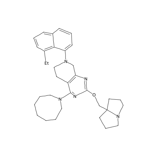 CCc1cccc2cccc(N3CCc4c(nc(OCC56CCCN5CCC6)nc4N4CCCCCCC4)C3)c12